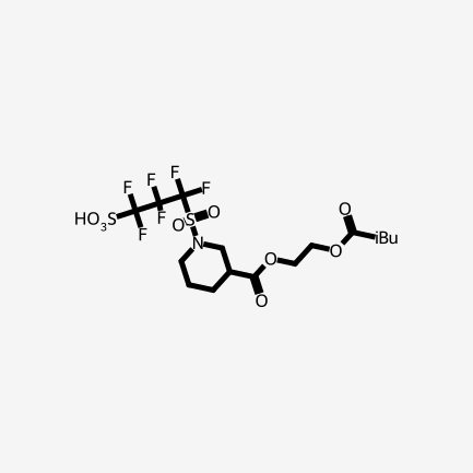 CCC(C)C(=O)OCCOC(=O)C1CCCN(S(=O)(=O)C(F)(F)C(F)(F)C(F)(F)S(=O)(=O)O)C1